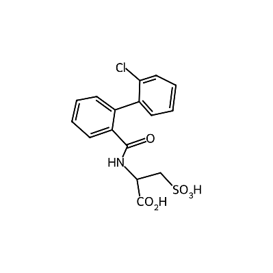 O=C(NC(CS(=O)(=O)O)C(=O)O)c1ccccc1-c1ccccc1Cl